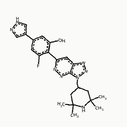 CC1(C)CC(n2nnc3cc(-c4c(O)cc(-c5cn[nH]c5)cc4F)nnc32)CC(C)(C)N1